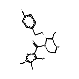 Cc1c(Br)c(C(=O)N2CCNC(C)[C@H]2CCc2ccc(F)cc2)nn1C